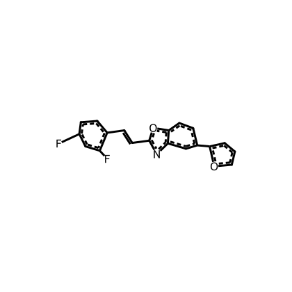 Fc1ccc(C=Cc2nc3cc(-c4ccco4)ccc3o2)c(F)c1